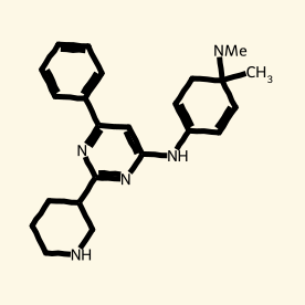 CNC1(C)C=CC(Nc2cc(-c3ccccc3)nc(C3CCCNC3)n2)=CC1